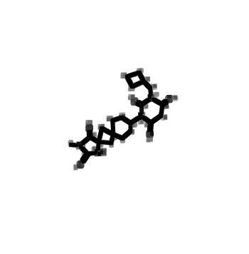 CN1C(=O)NC2(CC3(CCC(N4C(=O)CC(=O)N(CC5CCC5)C4=O)CC3)C2)C1=O